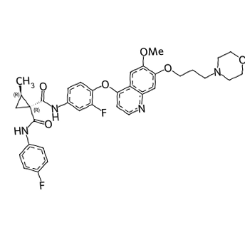 COc1cc2c(Oc3ccc(NC(=O)[C@]4(C(=O)Nc5ccc(F)cc5)C[C@H]4C)cc3F)ccnc2cc1OCCCN1CCOCC1